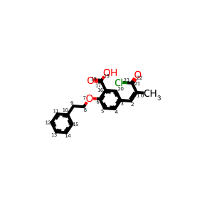 C/C(=C/c1ccc(OCCc2ccccc2)c(C(=O)O)c1)C(=O)Cl